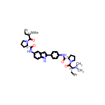 CN[C@H](CC(C)C)C(=O)N1CCC[C@H]1C(=O)Nc1ccc2[nH]c(-c3ccc(NC(=O)[C@@H]4CCCN4C(=O)[C@@H](CC(C)C)N(C)C)cc3)cc2c1